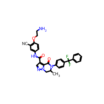 CC1Cn2ncc(C(=O)Nc3ccc(OCCN)c(C#N)c3)c2C(=O)N1c1ccc(C(F)(F)c2ccccc2)cc1